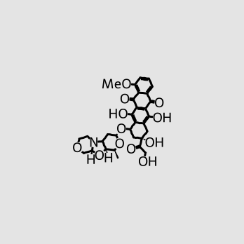 COc1cccc2c1C(=O)c1c(O)c3c(c(O)c1C2=O)C[C@@](O)(C(=O)CO)CC3O[C@H]1CC2[C@H](O[C@@H]3COCCN23)[C@H](C)O1